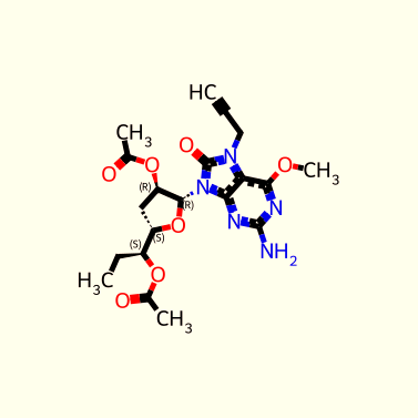 C#CCn1c(=O)n([C@@H]2O[C@H]([C@H](CC)OC(C)=O)C[C@H]2OC(C)=O)c2nc(N)nc(OC)c21